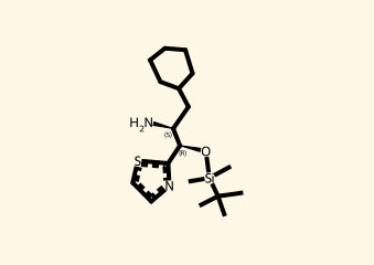 CC(C)(C)[Si](C)(C)O[C@@H](c1nccs1)[C@@H](N)CC1CCCCC1